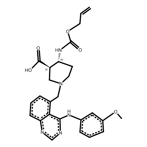 C=CCOC(=O)N[C@@H]1CCN(Cc2cccc3ncnc(Nc4cccc(OC)c4)c23)C[C@H]1C(=O)O